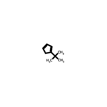 CC(C)(C)C1=CC=CC1